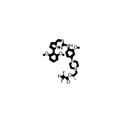 COc1cc(N2CCN(C[C@H](C)OC(=O)C(F)(F)F)CC2)ccc1Nc1ncc2ccc(-c3c(OC)cccc3OC)n2n1